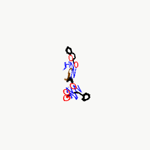 Cn1oc(=O)nc1/C(=N\OCc1csc(NC(=O)C2CCc3ccccc3O2)n1)c1ccccc1